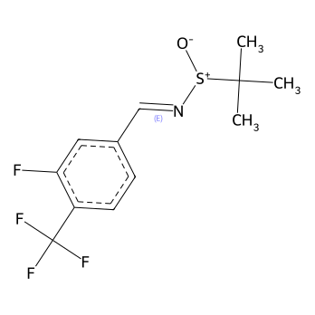 CC(C)(C)[S+]([O-])/N=C/c1ccc(C(F)(F)F)c(F)c1